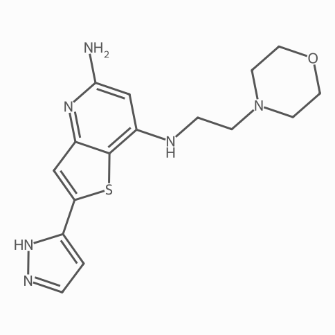 Nc1cc(NCCN2CCOCC2)c2sc(-c3ccn[nH]3)cc2n1